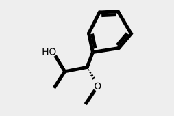 CO[C@@H](c1ccccc1)C(C)O